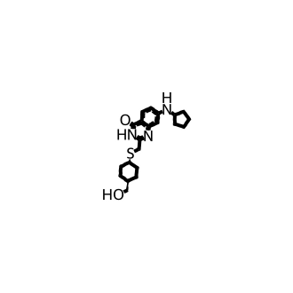 O=c1[nH]c(CS[C@H]2CC[C@H](CO)CC2)nc2cc(NC3CCCC3)ccc12